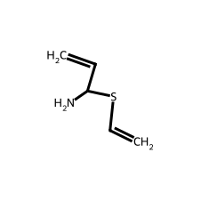 C=CSC(N)C=C